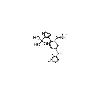 CCNSc1cc(Nc2ccn(C)n2)ccc1-c1scnc1C(O)(O)O